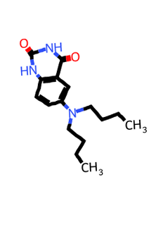 CCCCN(CCCC)c1ccc2[nH]c(=O)[nH]c(=O)c2c1